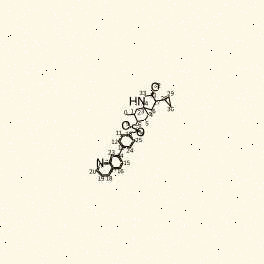 CC1CC2(CCC1S(=O)(=O)c1ccc(-c3ccc4cccnc4c3)cc1)CC(C1CC1)C(=O)CN2